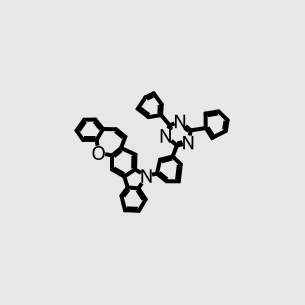 C1=Cc2cc3c(cc2Oc2ccccc21)c1ccccc1n3-c1cccc(-c2nc(-c3ccccc3)nc(-c3ccccc3)n2)c1